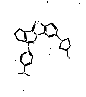 CN(C)c1ccc(-c2nn(-c3cc(N4CCC(O)C4)ccc3C(F)(F)F)c(=O)c3c2CCC3)cc1